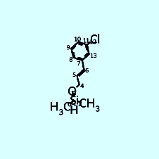 C[SiH](C)OCC=Cc1cccc(Cl)c1